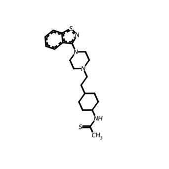 CC(=S)NC1CCC(CCN2CCN(c3nsc4ccccc34)CC2)CC1